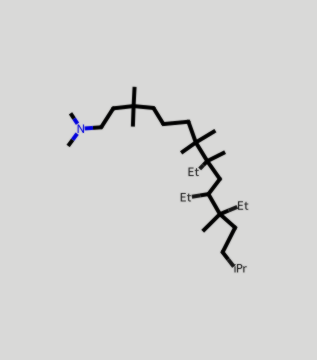 CCC(CC(C)(CC)C(C)(C)CCCC(C)(C)CCN(C)C)C(C)(CC)CCC(C)C